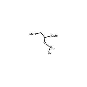 COCC(OC)O[SiH2]C(C)C